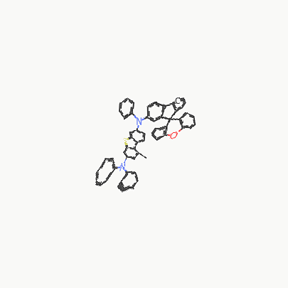 Cc1cc(N(c2c#cccc2)c2ccccc2)cc2sc3cc(N(c4ccccc4)c4ccc5c(c4)C4(c6ccccc6Oc6ccccc64)c4ccccc4-5)ccc3c12